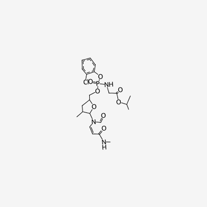 CNC(=O)/C=C\N(C=O)C1OC(COP(=O)(NCC(=O)OC(C)C)Oc2ccccc2Cl)CC1C